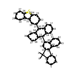 CC1(C)c2ccccc2-c2c1cc(-c1c3ccccc3c(-c3ccc4sc5ccccc5c4c3)c3ccccc13)c1ccccc21